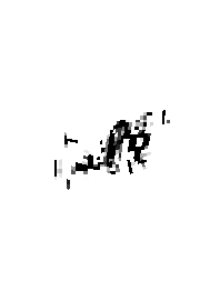 CCCNC(=O)c1nc2c(-c3cc(C(F)F)ccc3OC)cccn2c1N